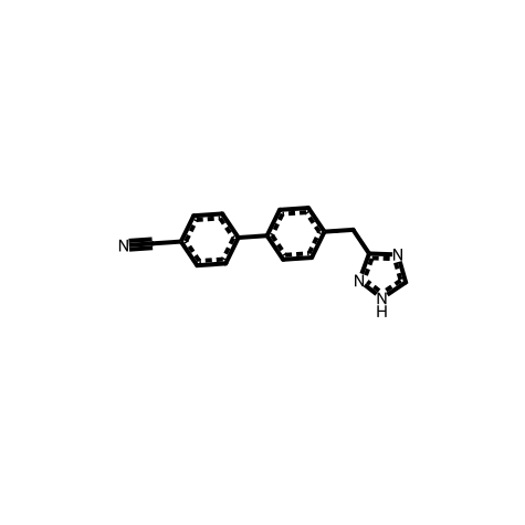 N#Cc1ccc(-c2ccc(Cc3nc[nH]n3)cc2)cc1